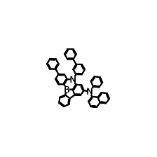 c1ccc(-c2cccc(N3c4cc(-c5ccccc5)ccc4B4c5ccccc5-c5cc(N(c6ccccc6)c6cccc7ccccc67)cc3c54)c2)cc1